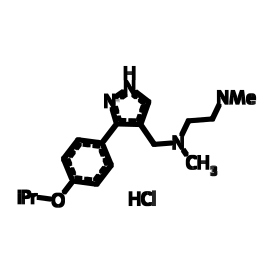 CNCCN(C)Cc1c[nH]nc1-c1ccc(OC(C)C)cc1.Cl